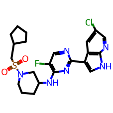 O=S(=O)(CC1CCCC1)N1CCCC(Nc2nc(-c3c[nH]c4ncc(Cl)cc34)ncc2F)C1